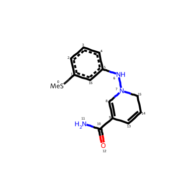 CSc1cccc(NN2C=C(C(N)=O)C=CC2)c1